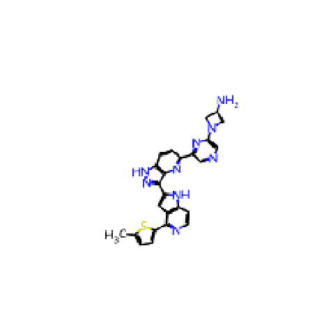 Cc1ccc(-c2nccc3[nH]c(-c4n[nH]c5ccc(-c6cncc(N7CC(N)C7)n6)nc45)cc23)s1